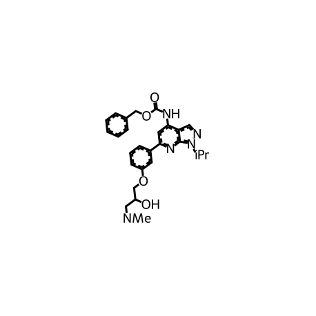 CNCC(O)COc1cccc(-c2cc(NC(=O)OCc3ccccc3)c3cnn(C(C)C)c3n2)c1